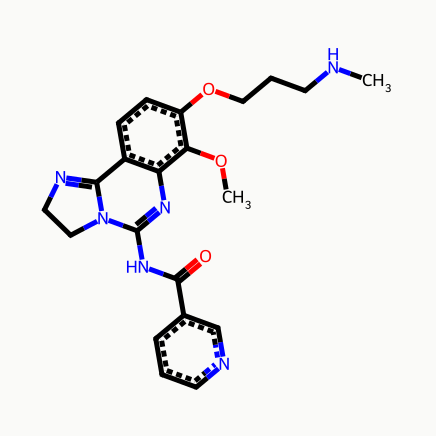 CNCCCOc1ccc2c(c1OC)N=C(NC(=O)c1cccnc1)N1CCN=C21